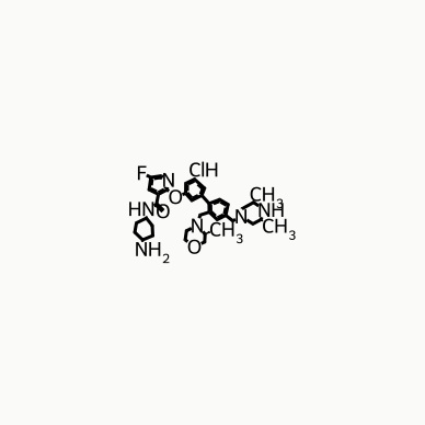 C[C@@H]1CN(Cc2ccc(-c3cccc(Oc4ncc(F)cc4C(=O)N[C@H]4CC[C@H](N)CC4)c3)c(CN3CCOC[C@@H]3C)c2)C[C@H](C)N1.Cl